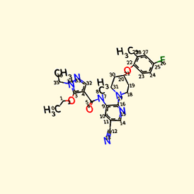 CCOc1c(C(=O)N(C)c2cc(C#N)cnc2N2CCC(Oc3ccc(F)cc3C)CC2)cnn1CC